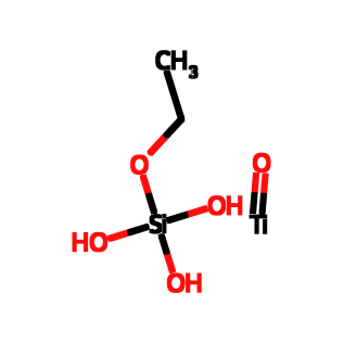 CCO[Si](O)(O)O.[O]=[Ti]